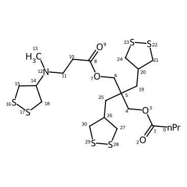 CCCC(=O)OCC(COC(=O)CCN(C)C1CSSC1)(CC1CSSC1)CC1CSSC1